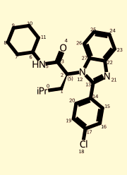 CC(C)C[C@@H](C(=O)NC1CCCCC1)n1c(-c2ccc(Cl)cc2)nc2ccccc21